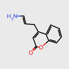 NC=CCc1cc(=O)oc2ccccc12